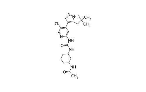 CC(=O)NC1CCCC(NC(=O)Nc2cc(-c3cnn4c3CC(C)(C)C4)c(Cl)cn2)C1